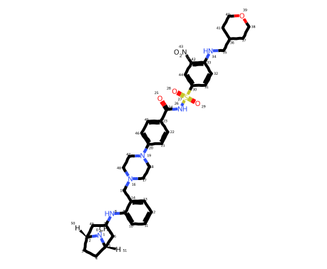 CN1[C@@H]2CC[C@H]1CC(Nc1ccccc1CN1CCN(c3ccc(C(=O)NS(=O)(=O)c4ccc(NCC5CCOCC5)c([N+](=O)[O-])c4)cc3)CC1)C2